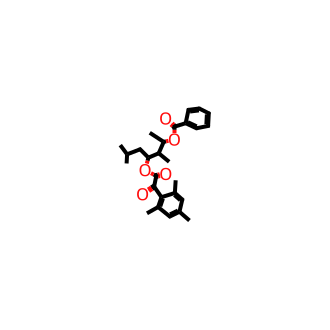 Cc1cc(C)c(C(=O)C(=O)OC(CC(C)C)C(C)C(C)OC(=O)c2ccccc2)c(C)c1